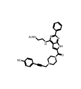 CC(=O)NCCNc1nc(-c2ccccc2)nc2[nH]c(C(=O)N3CCN(CC#Cc4ccc(C#N)cc4)CC3)cc12